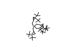 CC(C)(C)[Si]1(C(C)(C)C)CC1C[Si](CC1C[Si]1(C(C)(C)C)C(C)(C)C)(CC1C[Si]1(C(C)(C)C)C(C)(C)C)CC1C[Si]1(C(C)(C)C)C(C)(C)C